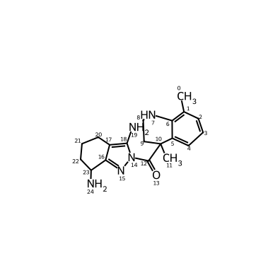 Cc1cccc2c1NCCC2(C)C(=O)n1nc2c(c1N)CCCC2N